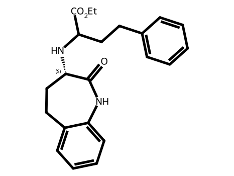 CCOC(=O)C(CCc1ccccc1)N[C@H]1CCc2ccccc2NC1=O